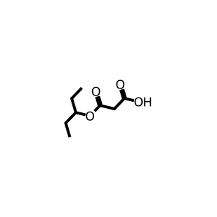 CCC(CC)OC(=O)CC(=O)O